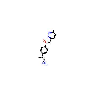 Cc1ccc(CC(=O)c2ccc(C(C)CN)cc2)nn1